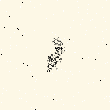 COc1ccc(CN(C)S(=O)(=O)CCCN(Cc2ccc(Cl)cc2)C(=O)C2(C)CCN2C(=O)c2csc3ccccc23)c(OC)c1